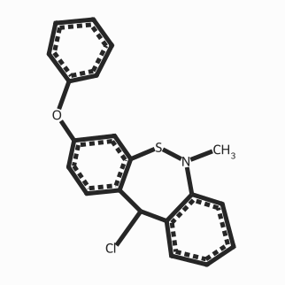 CN1Sc2cc(Oc3ccccc3)ccc2C(Cl)c2ccccc21